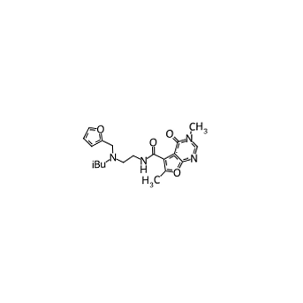 CCC(C)N(CCNC(=O)c1c(C)oc2ncn(C)c(=O)c12)Cc1ccco1